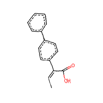 CC=C(C(=O)O)c1ccc(-c2ccccc2)cc1